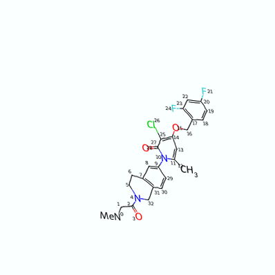 CNCC(=O)N1CCc2cc(-n3c(C)cc(OCc4ccc(F)cc4F)c(Cl)c3=O)ccc2C1